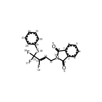 O=C1c2ccccc2C(=O)N1C/C=C(\F)C(F)(F)Sc1ccccc1